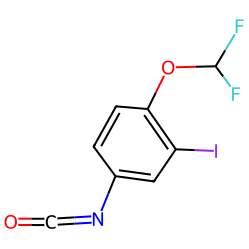 O=C=Nc1ccc(OC(F)F)c(I)c1